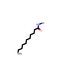 CSCCCCCCCCCC(=O)NC(C)C